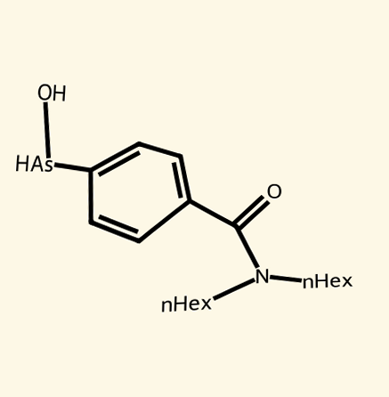 CCCCCCN(CCCCCC)C(=O)c1ccc([AsH]O)cc1